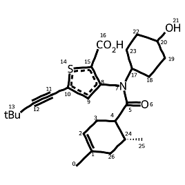 CC1=CCC(C(=O)N(c2cc(C#CC(C)(C)C)sc2C(=O)O)C2CCC(O)CC2)[C@H](C)C1